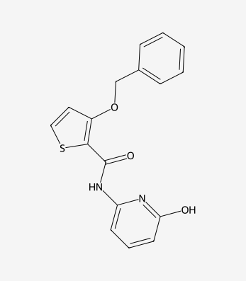 O=C(Nc1cccc(O)n1)c1sccc1OCc1ccccc1